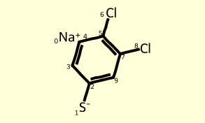 [Na+].[S-]c1ccc(Cl)c(Cl)c1